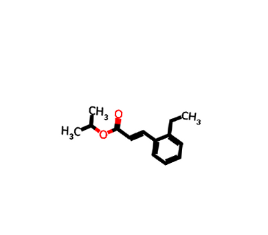 CCc1ccccc1C=CC(=O)OC(C)C